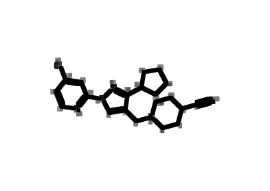 N#CC1CCN(Cc2cn(-c3cc(Cl)ccn3)nc2C2CCCC2)CC1